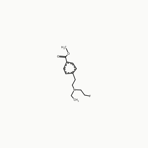 CCN(CCF)CCc1ccc(C(=O)OC)cc1